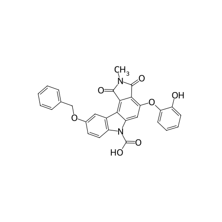 CN1C(=O)c2c(Oc3ccccc3O)cc3c(c2C1=O)c1cc(OCc2ccccc2)ccc1n3C(=O)O